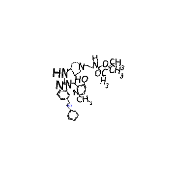 Cc1ccc(O)c(Cn2c(NC3CCN(CCNC(=O)OC(C)(C)C)CC3)nc3ccc(/C=C/c4ccccc4)cc32)n1